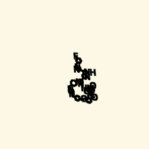 O=C1CC[C@@H](N2Cc3c(OCc4ccc(CN5CCN(CC6CCCC(n7cc(-c8cnc9[nH]cc(-c%10cnn(Cc%11cccc(F)c%11)c%10)c9c8)cn7)CC6)CC5)cc4)cccc3C2=O)C(=O)N1